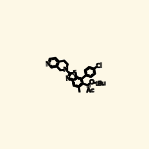 CC(=O)[C@@H](OC(C)(C)C)c1c(C)cc2nc(N3CCc4ccncc4C3)sc2c1-c1ccc(Cl)cc1